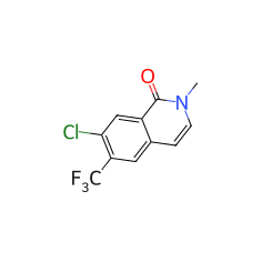 Cn1ccc2cc(C(F)(F)F)c(Cl)cc2c1=O